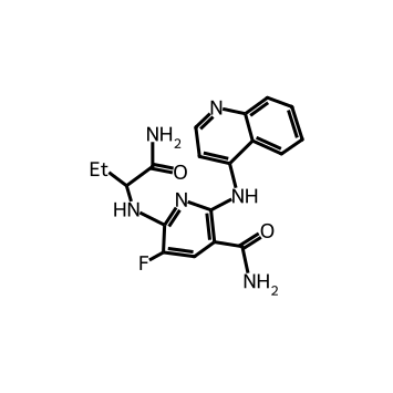 CCC(Nc1nc(Nc2ccnc3ccccc23)c(C(N)=O)cc1F)C(N)=O